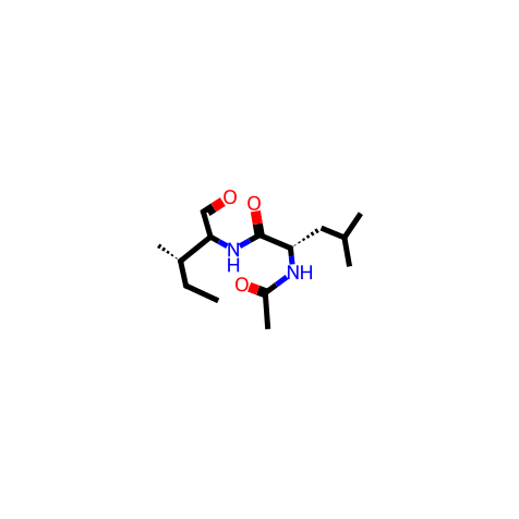 CC[C@H](C)C(C=O)NC(=O)[C@H](CC(C)C)NC(C)=O